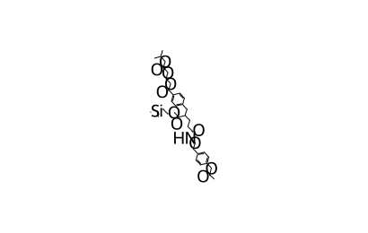 CC(=O)Oc1ccc(CONC(=O)CCC(Cc2ccc(C(=O)OCOC(=O)OC(C)C)cc2)C(=O)OCC[Si](C)(C)C)cc1